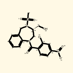 CS(=O)(=O)N1Cc2ccccc2N(C(=O)c2ccc([N+](=O)[O-])cc2Cl)C[C@H]1CO